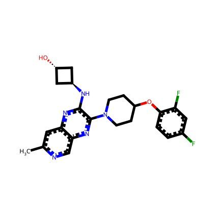 Cc1cc2nc(N[C@H]3C[C@H](O)C3)c(N3CCC(Oc4ccc(F)cc4F)CC3)nc2cn1